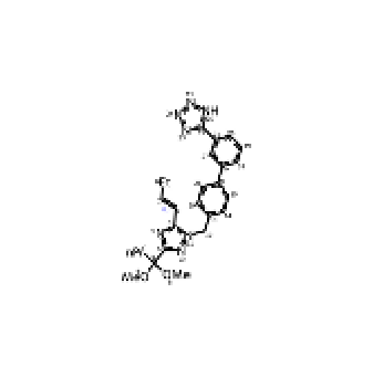 CC/C=C/c1nc(C(CCC)(OC)OC)nn1Cc1ccc(-c2cccc(-c3nnn[nH]3)c2)cc1